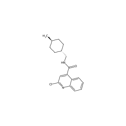 [CH2][C@H]1CC[C@H](CNC(=O)c2cc(Cl)nc3ccccc23)CC1